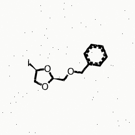 I[C@@H]1CO[C@H](COCc2ccccc2)O1